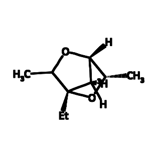 [3H][C@@H]1[C@@H]2OC(C)[C@@]1(CC)O[C@H]2C